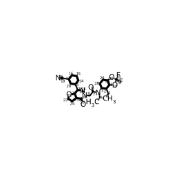 CCc1c(N(CC)C(=O)Cn2nc(-c3cccc(C#N)c3)c3occc3c2=O)ccc2c1OC(F)(F)O2